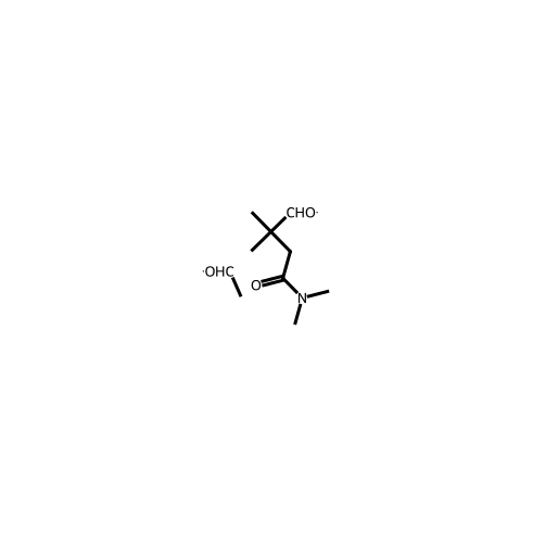 CN(C)C(=O)CC(C)(C)[C]=O.C[C]=O